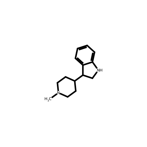 CN1CCC(C2CNc3ccccc32)CC1